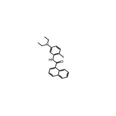 CCN(CC)c1ccc(I)c(NC(=O)c2cccc3ccccc23)c1